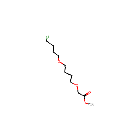 CC(C)(C)OC(=O)COCCCCOCCCCCl